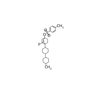 Cc1ccc(S(=O)(=O)OC23C=C(F)C(C4CCC(C5CCC(C)CC5)CC4)(CC2)CC3)cc1